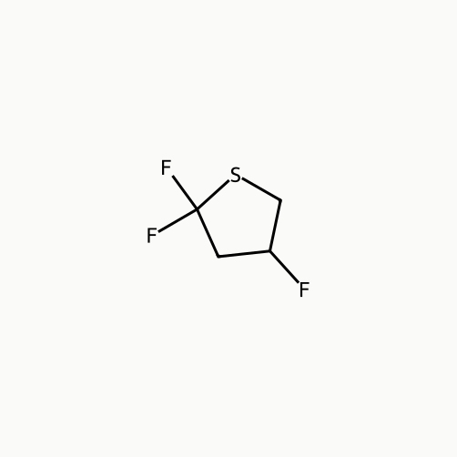 FC1CSC(F)(F)C1